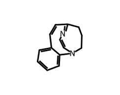 c1ccc2c(c1)ccc1nccn2CCC1